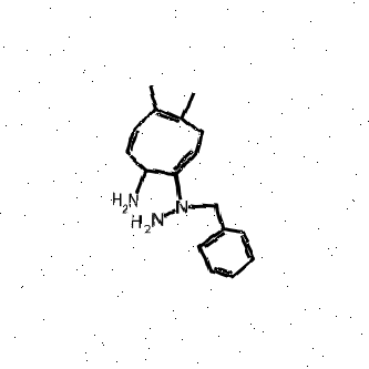 C/C1=C(\C)C/C=C(/N(N)Cc2ccccc2)C(N)C=C1